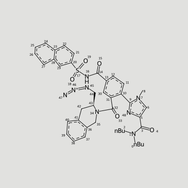 CCCCN(CCCC)C(=O)c1cn(C)c(-c2ccc(C(=O)NS(=O)(=O)c3ccc4ccccc4c3)cc2C(=O)N2Cc3ccccc3C[C@H]2CN=[N+]=[N-])n1